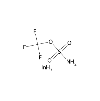 NS(=O)(=O)OC(F)(F)F.[InH3]